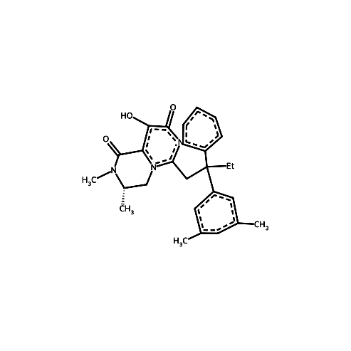 CCC(Cc1nc(=O)c(O)c2n1C[C@H](C)N(C)C2=O)(c1ccccc1)c1cc(C)cc(C)c1